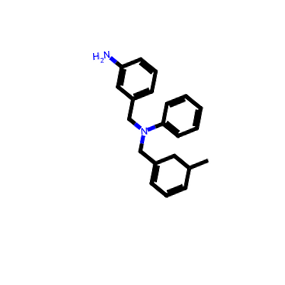 CC1C=CC=C(CN(Cc2cccc(N)c2)c2ccccc2)C1